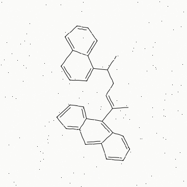 [CH2]C(CC=C(C)c1c2ccccc2cc2ccccc12)c1cccc2ccccc12